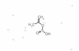 C=C(C)[O][Ti](=[O])[OH]